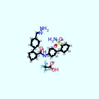 NN=Cc1ccc(-c2ccccc2C(=O)Nc2ccc(-c3ccccc3S(N)(=O)=O)cc2)cc1.O=C(O)C(F)(F)F